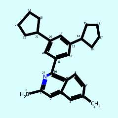 Bc1cc2cc(C)ccc2c(-c2cc(C3CCCC3)cc(C3CCCC3)c2)n1